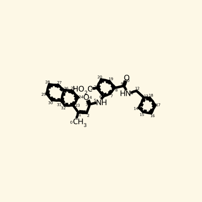 C/C(=C/C(=O)Nc1cc(C(=O)NCc2ccccc2)ccc1C(=O)O)c1ccc2ccccc2c1